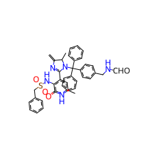 C=C1N=C(c2cc(C)[nH]c(=O)c2NS(=O)(=O)Cc2ccccc2)N(C(c2ccccc2)(c2ccccc2)c2ccc(CNC=O)cc2)C1C